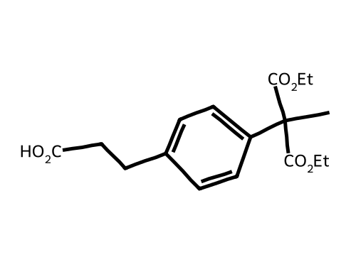 CCOC(=O)C(C)(C(=O)OCC)c1ccc(CCC(=O)O)cc1